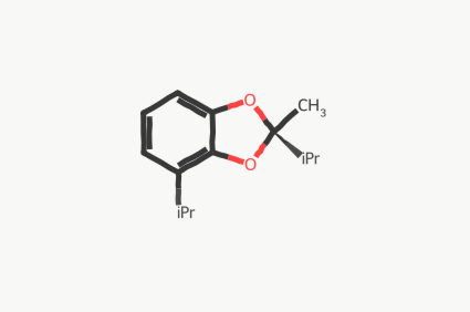 CC(C)c1cccc2c1O[C@](C)(C(C)C)O2